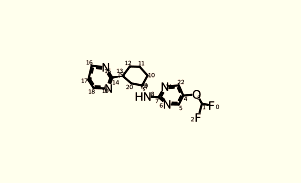 FC(F)Oc1cnc(N[C@H]2CCC[C@H](c3ncccn3)C2)nc1